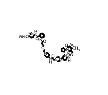 COc1ccc(NC(=O)c2ccccc2NC(=O)CCOCCN2CCC(NC(=O)CN3CCN(c4ccc(Nc5ncc6c(C)c(C(C)=O)c(=O)n(C7CCCC7)c6n5)nc4)CC3)CC2)nn1